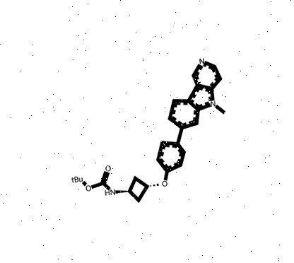 Cn1c2ccncc2c2ccc(-c3ccc(O[C@H]4C[C@H](NC(=O)OC(C)(C)C)C4)cc3)cc21